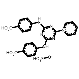 O=C(O)c1ccc(Nc2nc(Nc3ccc(C(=O)O)cc3)nc(-[n+]3ccccc3)n2)cc1.O=S(=O)([O-])O